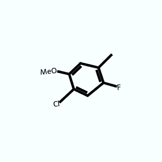 COc1cc(C)c(F)cc1Cl